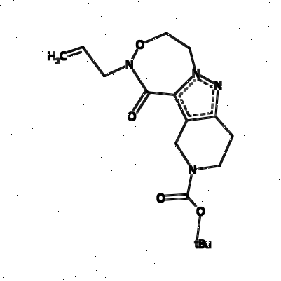 C=CCN1OCCn2nc3c(c2C1=O)CN(C(=O)OC(C)(C)C)CC3